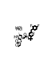 C[C@@H]1CN(CC(=O)N2CC(C)(C)c3cnc(Cc4ccc(F)cc4F)cc32)[C@@H](CN2CCOC2=O)CN1.Cl.Cl